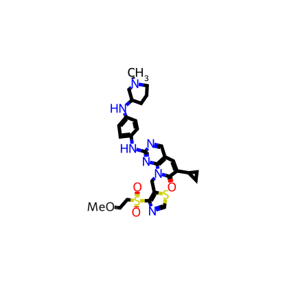 COCCS(=O)(=O)c1ncsc1Cn1c(=O)c(C2CC2)cc2cnc(Nc3ccc(NC4CCCN(C)C4)cc3)nc21